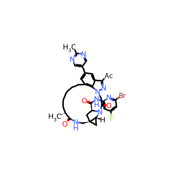 CC(=O)c1nn2c3c(cc(-c4cnc(C)nc4)cc13)CCCCC[C@@H](C)C(=O)NC[C@@]13C[C@@H](C(=O)Nc4cc(F)cc(Br)n4)N(C(=O)C2)[C@@H]1C3